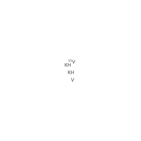 [15V].[KH].[KH].[V]